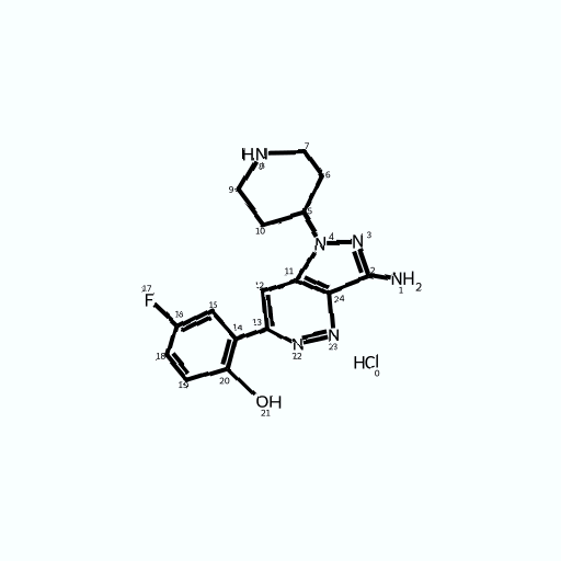 Cl.Nc1nn(C2CCNCC2)c2cc(-c3cc(F)ccc3O)nnc12